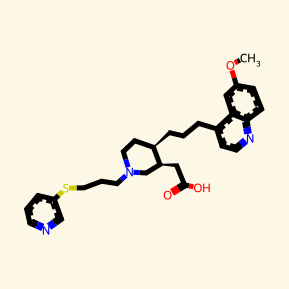 COc1ccc2nccc(CCC[C@@H]3CCN(CCCSc4cccnc4)C[C@@H]3CC(=O)O)c2c1